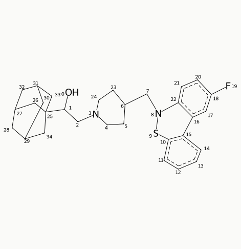 OC(CN1CCC(CN2Sc3ccccc3-c3cc(F)ccc32)CC1)C12CC3CC(CC(C3)C1)C2